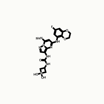 CNc1cc(Nc2cc(F)cc3c2OCCO3)nc2c(NC(=O)NC3CS(O)(O)C3)cnn12